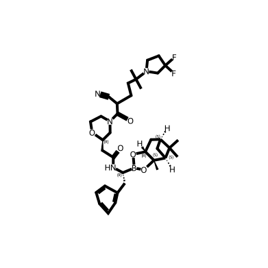 CC1(C)[C@@H]2C[C@H]3OB([C@H](Cc4ccccc4)NC(=O)C[C@@H]4CN(C(=O)C(C#N)CCC(C)(C)N5CCC(F)(F)C5)CCO4)O[C@@]3(C)[C@H]1C2